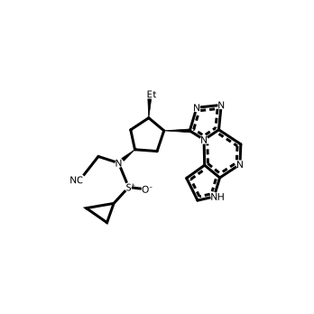 CC[C@@H]1C[C@H](N(CC#N)[S+]([O-])C2CC2)C[C@@H]1c1nnc2cnc3[nH]ccc3n12